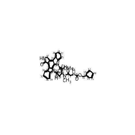 CO[C@@H]1[C@H](N(C)C(=O)CNC(=O)OCc2ccccc2)C[C@H]2O[C@]1(C)n1c3ccccc3c3c4c(c5c6ccccc6n2c5c31)C(=O)NC4